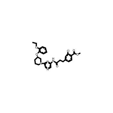 CCOc1ccccc1O[C@@H]1CCCN(c2cncc(NC(=O)CCc3ccc(C(=O)OC)c(Cl)c3)n2)C1